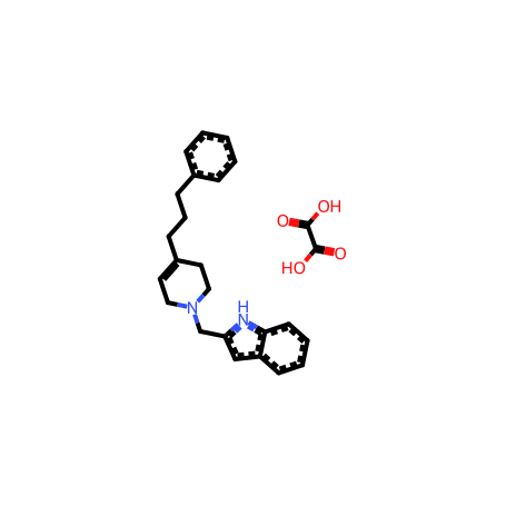 C1=C(CCCc2ccccc2)CCN(Cc2cc3ccccc3[nH]2)C1.O=C(O)C(=O)O